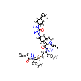 Cc1ccc(NC(=O)Nc2ccc3c(c2)CCN(C)C3C(=O)NC(CCSCC(NC(=O)CC(C)(C)C)C(=O)O)C(=O)O)cc1